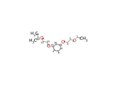 CCOCCOc1cccc(OCCOC(C)C)c1